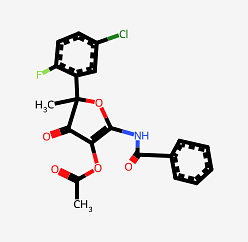 CC(=O)OC1=C(NC(=O)c2ccccc2)OC(C)(c2cc(Cl)ccc2F)C1=O